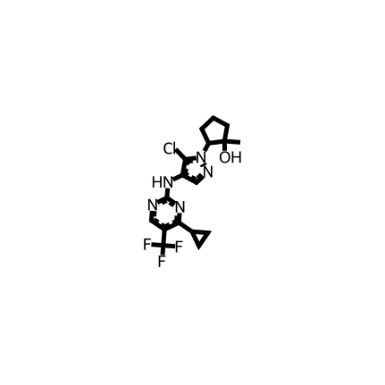 CC1(O)CCCC1n1ncc(Nc2ncc(C(F)(F)F)c(C3CC3)n2)c1Cl